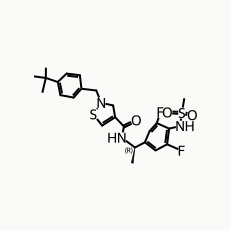 C[C@@H](NC(=O)C1=CSN(Cc2ccc(C(C)(C)C)cc2)C1)c1cc(F)c(NS(C)(=O)=O)c(F)c1